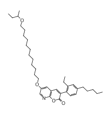 CCCCCc1ccc(-c2cc3cc(OCCCCCCCCCCCCOC(C)CC)cnc3oc2=O)c(CC)c1